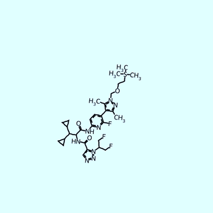 Cc1nn(COCCS(C)(C)C)c(C)c1-c1ccc(NC(=O)C(NC(=O)c2cnnn2C(CF)CF)C(C2CC2)C2CC2)nc1F